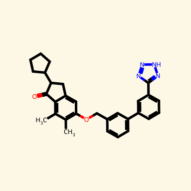 Cc1c(OCc2cccc(-c3cccc(-c4nn[nH]n4)c3)c2)cc2c(c1C)C(=O)C(C1CCCC1)C2